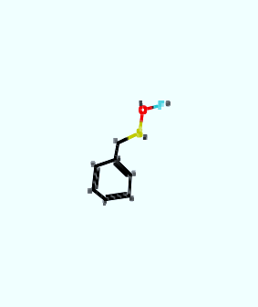 FOSCc1ccccc1